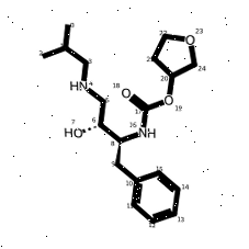 CC(C)CNC[C@@H](O)[C@H](Cc1ccccc1)NC(=O)OC1CCOC1